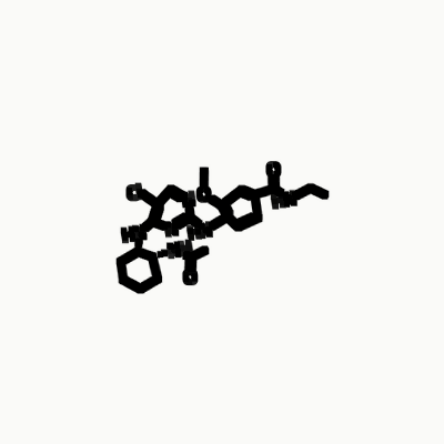 CCNC(=O)c1ccc(Nc2ncc(Cl)c(N[C@@H]3CCCC[C@H]3NC(C)=O)n2)c(OC)c1